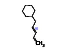 C=C/C=C/CC1CCCCC1